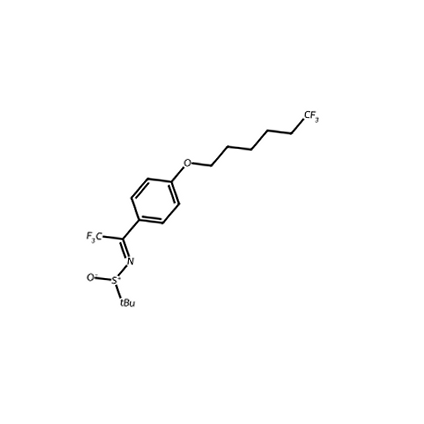 CC(C)(C)[S+]([O-])N=C(c1ccc(OCCCCCC(F)(F)F)cc1)C(F)(F)F